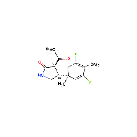 COC(=O)[C@@H]1C(=O)NC[C@H]1C1(C)C=C(F)C(OC)=C(F)C1